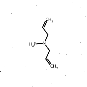 C=CCN([PH4])CC=C